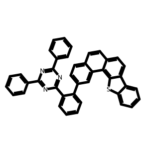 c1ccc(-c2nc(-c3ccccc3)nc(-c3ccccc3-c3ccc4ccc5ccc6c7ccccc7sc6c5c4c3)n2)cc1